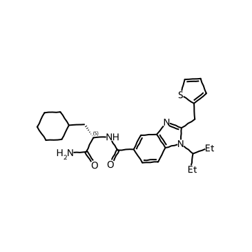 CCC(CC)n1c(Cc2cccs2)nc2cc(C(=O)N[C@@H](CC3CCCCC3)C(N)=O)ccc21